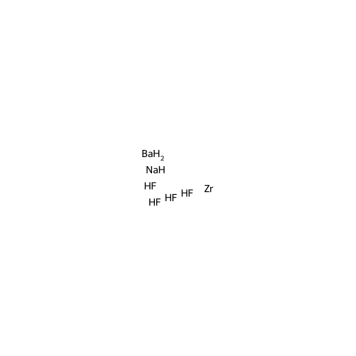 F.F.F.F.[BaH2].[NaH].[Zr]